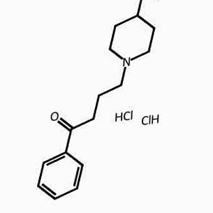 Cl.Cl.NC1CCN(CCCC(=O)c2ccccc2)CC1